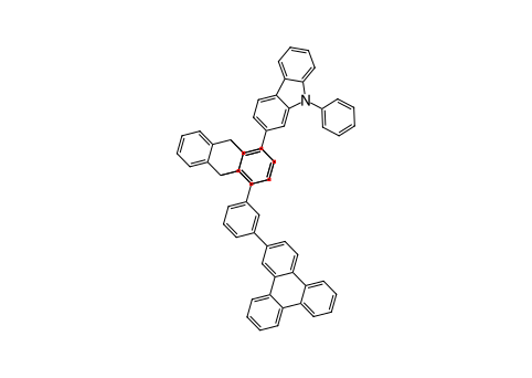 c1ccc(-n2c3ccccc3c3ccc(-c4ccc(-c5cccc(-c6ccc7c8ccccc8c8ccccc8c7c6)c5)c5c4C4c6ccccc6C5c5ccccc54)cc32)cc1